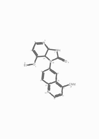 CCOC1=CC=NC2NC(=O)N(c3ccc4nccc(OC)c4c3)C12